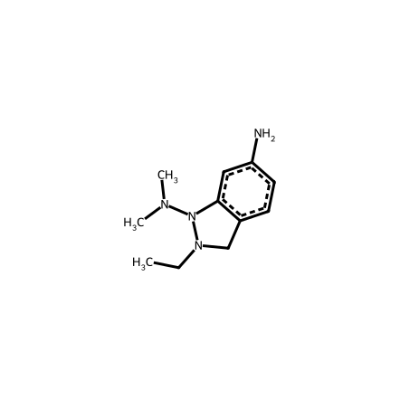 CCN1Cc2ccc(N)cc2N1N(C)C